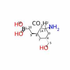 NC1(C(=O)O)C[C@H](CO)C[C@@H](CCB(O)O)C1